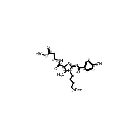 CCCCCCCCCCCCCCN1C(=NC(=O)c2ccc(C#N)cc2)SC(C(=O)NCCC(=O)OC(C)(C)C)C1C